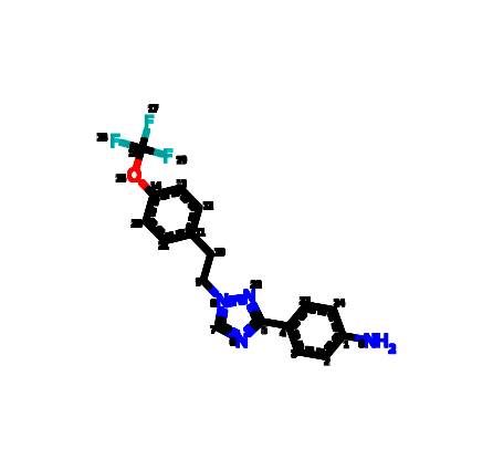 Nc1ccc(-c2ncn(CCc3ccc(OC(F)(F)F)cc3)n2)cc1